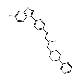 O[C@H](COc1ccc(-c2noc3cc(F)ccc23)cc1)CN1CCN(c2ncccn2)CC1